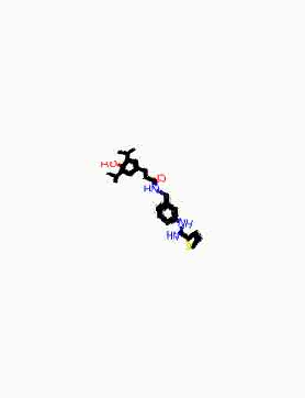 CC(C)c1cc(CCC(=O)NCc2cccc(NC(=N)c3cccs3)c2)cc(C(C)C)c1O